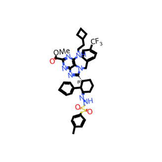 COC(=O)c1nc(NCCC2CCC2)c2c(n1)nc([C@@H]1CCCC(=NNS(=O)(=O)c3ccc(C)cc3)C1c1ccccc1)n2Cc1ccc(C(F)(F)F)cc1